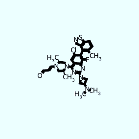 Cc1ccc2sncc2c1-c1c(Cl)cc2c(N3C[C@@H](C)N(C=CC=O)C[C@@H]3C)nc(N3CC(N(C)C)C3)nc2c1F